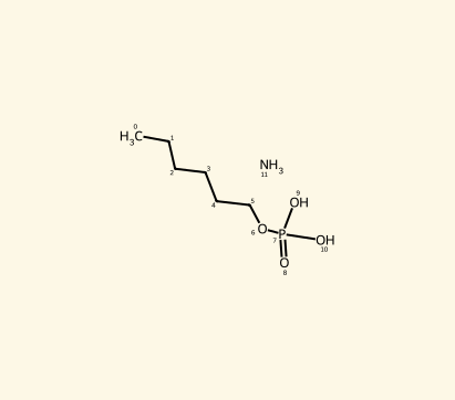 CCCCCCOP(=O)(O)O.N